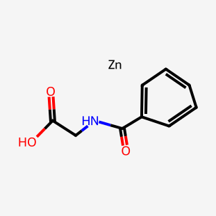 O=C(O)CNC(=O)c1ccccc1.[Zn]